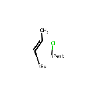 CC=CC(C)(C)C.CCCCCCl